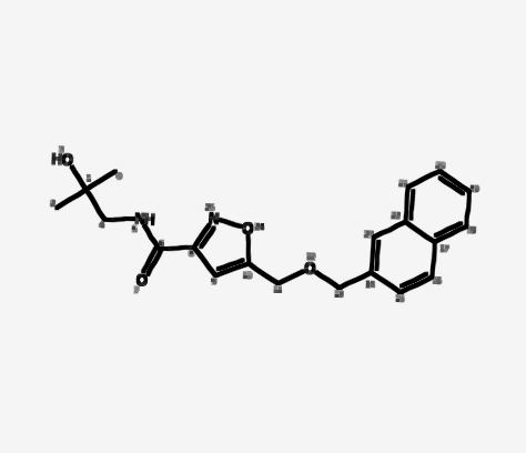 CC(C)(O)CNC(=O)c1cc(COCc2ccc3ccccc3c2)on1